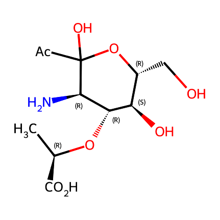 CC(=O)C1(O)O[C@H](CO)[C@@H](O)[C@H](O[C@H](C)C(=O)O)[C@H]1N